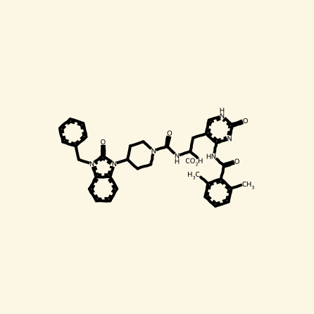 Cc1cccc(C)c1C(=O)Nc1nc(=O)[nH]cc1CC(NC(=O)N1CCC(n2c(=O)n(Cc3ccccc3)c3ccccc32)CC1)C(=O)O